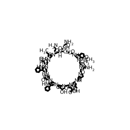 CCCC[C@H]1C(=O)N(C)[C@@H](CCCC)C(=O)N[C@@H](CCCN)C(=O)N[C@H](C(=O)NCC(N)=O)CSCC(=O)N[C@@H](Cc2ccc(OC)cc2)C(=O)N(C)[C@@H](C)C(=O)N[C@@H](CC(N)=O)C(=O)N2CCC[C@H]2C(=O)N[C@@H](Cc2cnc[nH]2)C(=O)N[C@@H](CCC(=O)O)C(=O)N2C[C@H](O)C[C@H]2C(=O)N[C@@H](Cc2c[nH]c3ccccc23)C(=O)N[C@@H](CC(=O)O)C(=O)N[C@@H](Cc2c[nH]c3ccccc23)C(=O)N1C